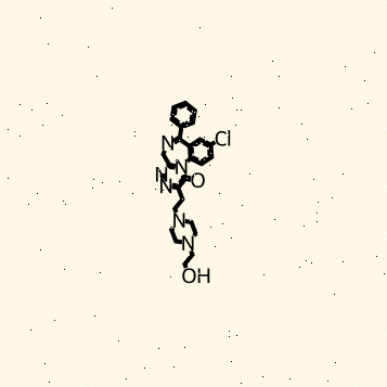 O=c1c(CCN2CCN(CCO)CC2)nnc2n1-c1ccc(Cl)cc1C(c1ccccc1)=NC2